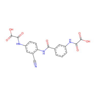 N#Cc1cc(NC(=O)C(=O)O)ccc1NC(=O)c1cccc(NC(=O)C(=O)O)c1